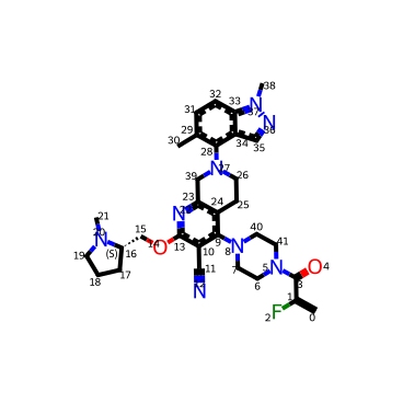 C=C(F)C(=O)N1CCN(c2c(C#N)c(OC[C@@H]3CCCN3C)nc3c2CCN(c2c(C)ccc4c2cnn4C)C3)CC1